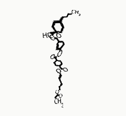 C#CC1(OC(=O)c2ccc(OC(=O)C3CCC(C(=O)OCCCCCOC(=O)C=C)CC3)cc2)CCC(CCCCC)CC1